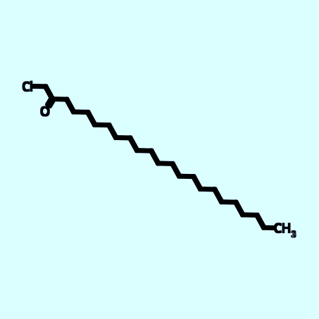 CCCCCCCCCCCCCCCCCCCCCC(=O)CCl